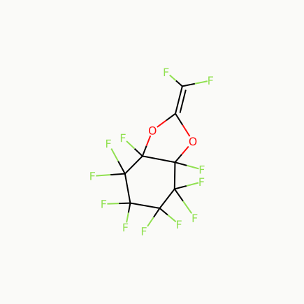 FC(F)=C1OC2(F)C(F)(F)C(F)(F)C(F)(F)C(F)(F)C2(F)O1